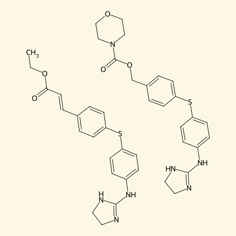 CCOC(=O)C=Cc1ccc(Sc2ccc(NC3=NCCN3)cc2)cc1.O=C(OCc1ccc(Sc2ccc(NC3=NCCN3)cc2)cc1)N1CCOCC1